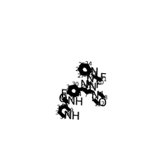 O=C(Nc1cc(-c2cc(N3CCOCC3)nc(-n3c(C(F)F)nc4ccccc43)n2)ccc1F)[C@@H]1CCCNC1